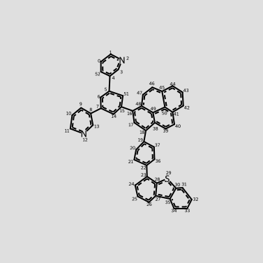 c1cncc(-c2cc(-c3cccnc3)cc(-c3cc(-c4ccc(-c5cccc6c5sc5ccccc56)cc4)c4ccc5cccc6ccc3c4c56)c2)c1